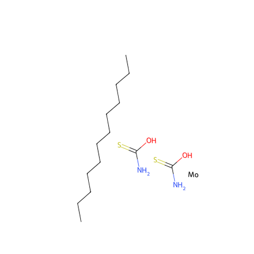 CCCCCCCCCCCC.NC(O)=S.NC(O)=S.[Mo]